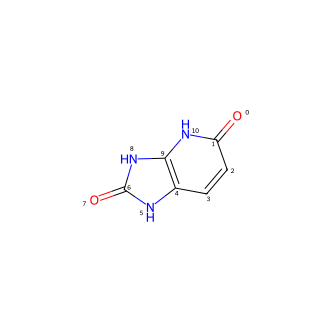 O=c1ccc2[nH]c(=O)[nH]c2[nH]1